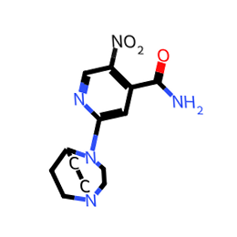 NC(=O)c1cc(N2CCN3CCC2CC3)ncc1[N+](=O)[O-]